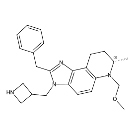 COCN1c2ccc3c(nc(Cc4ccccc4)n3CC3CNC3)c2CC[C@@H]1C